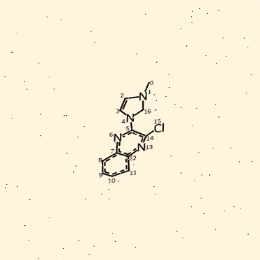 CN1C=CN(c2nc3ccccc3nc2Cl)C1